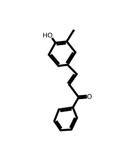 Cc1cc(/C=C/C(=O)c2ccccc2)ccc1O